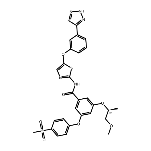 COC[C@H](C)Oc1cc(Oc2ccc(S(C)(=O)=O)cc2)cc(C(=O)Nc2ncc(Oc3cccc(-c4nn[nH]n4)c3)s2)c1